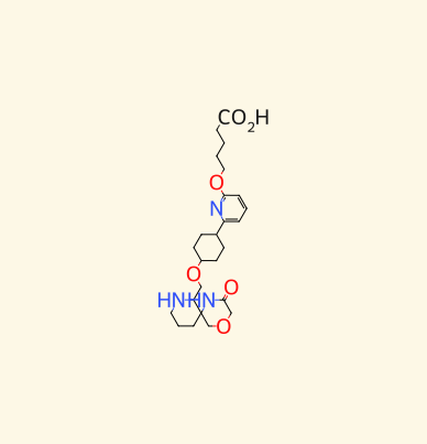 O=C(O)CCCCOc1cccc(C2CCC(OCC3NCCCC34COCC(=O)N4)CC2)n1